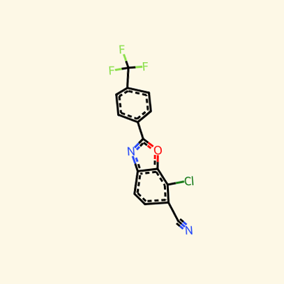 N#Cc1ccc2nc(-c3ccc(C(F)(F)F)cc3)oc2c1Cl